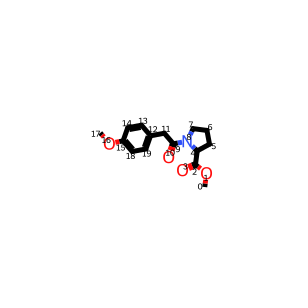 COC(=O)C1CCCN1C(=O)Cc1ccc(OC)cc1